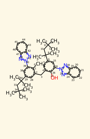 Cc1c(Cc2cc(C(C)(C)CC(C)(C)C)cc(-n3nc4ccccc4n3)c2O)cc(C(C)(C)CC(C)(C)C)cc1-n1nc2ccccc2n1